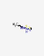 C=CCCCNC(=S)Nc1nccs1